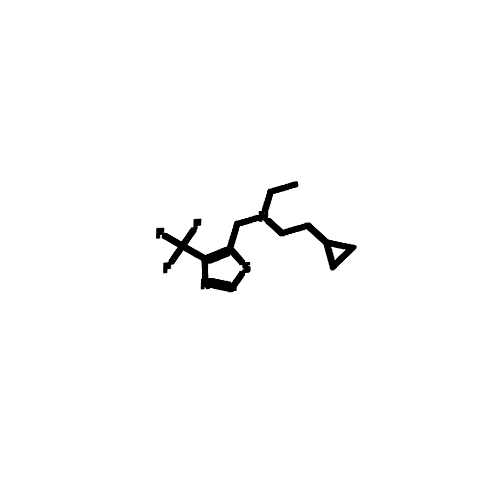 CCN(CCC1CC1)Cc1s[c]nc1C(F)(F)F